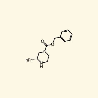 CCC[C@@H]1CN(C(=O)OCc2ccccc2)CCN1